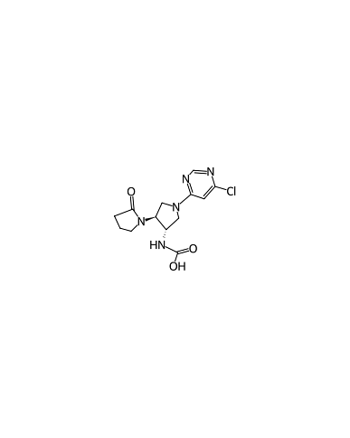 O=C(O)N[C@H]1CN(c2cc(Cl)ncn2)C[C@@H]1N1CCCC1=O